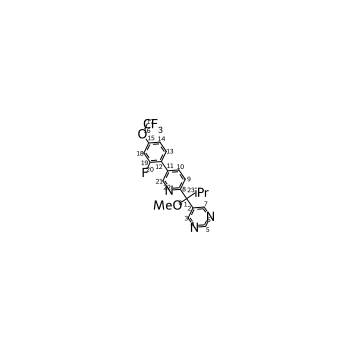 COC(c1cncnc1)(c1ccc(-c2ccc(OC(F)(F)F)cc2F)cn1)C(C)C